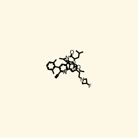 C#Cc1ncc(C(CC(=O)OCC)[N+]23C(=O)C(CC(C)C)N4C=C(CCN5CC(F)C5)C=C(F)C4=C2C3C)cc1-c1c(C)cccc1C